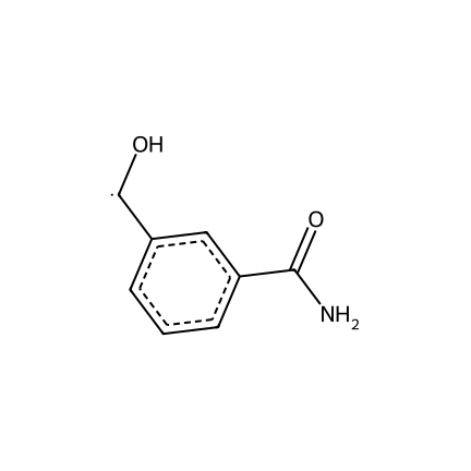 NC(=O)c1cccc([CH]O)c1